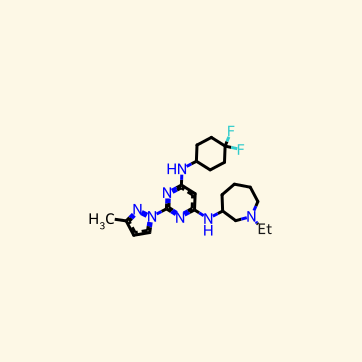 CCN1CCCCC(Nc2cc(NC3CCC(F)(F)CC3)nc(-n3ccc(C)n3)n2)C1